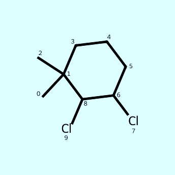 CC1(C)CCCC(Cl)C1Cl